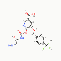 NCC(=O)NC(=O)Oc1ncc(C(=O)O)cc1OCc1ccc(C(F)(F)F)cc1